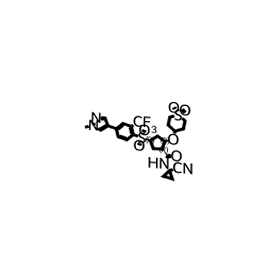 Cn1cc(-c2ccc(S(=O)(=O)[C@H]3C[C@@H](OC4CCS(=O)(=O)CC4)[C@H](C(=O)NC4(C#N)CC4)C3)c(C(F)(F)F)c2)cn1